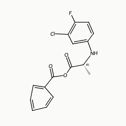 C[C@@H](Nc1ccc(F)c(Cl)c1)C(=O)OC(=O)c1ccccc1